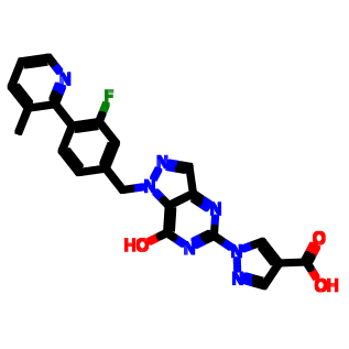 Cc1cccnc1-c1ccc(Cn2ncc3nc(-n4cc(C(=O)O)cn4)nc(O)c32)cc1F